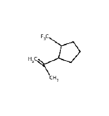 C=C(C)C1CCCC1C(F)(F)F